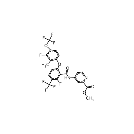 COC(=O)c1cc(NC(=O)c2c(Oc3ccc(OC(F)(F)F)c(F)c3C)ccc(C(F)(F)F)c2F)ccn1